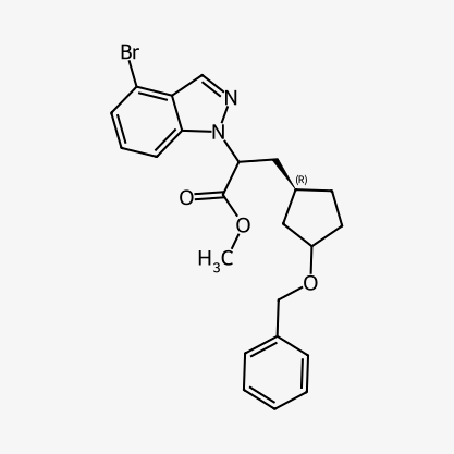 COC(=O)C(C[C@H]1CCC(OCc2ccccc2)C1)n1ncc2c(Br)cccc21